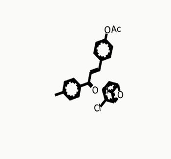 CC(=O)Oc1ccc(C=CC(=O)c2ccc(C)cc2)cc1.Clc1ccc2c(Cl)c1O2